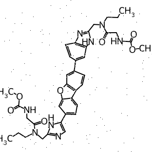 CCCN(Cc1ncc(-c2ccc3c(c2)oc2cc(-c4ccc5nc(CN(CCC)C(=O)CNC(=O)OC)[nH]c5c4)ccc23)[nH]1)C(=O)CNC(=O)OC